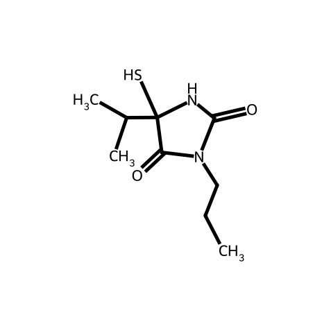 CCCN1C(=O)NC(S)(C(C)C)C1=O